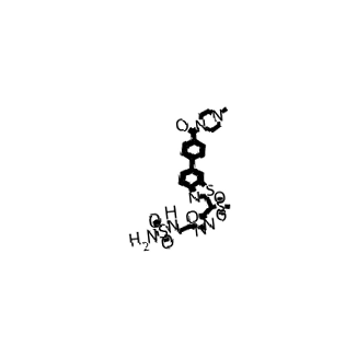 CN1CCN(C(=O)c2ccc(-c3ccc4nc(C(c5nnc(CNS(N)(=O)=O)o5)S(C)(=O)=O)sc4c3)cc2)CC1